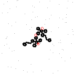 O=C1C(c2ccccc2)=C(c2ccc(Oc3ccc(C4=C(c5ccccc5)C(=O)C(c5ccccc5)=C4c4cccc(CC#CCc5ccccc5)c4)cc3)cc2)C(c2cccc(CC#CCc3ccccc3)c2)=C1c1ccccc1